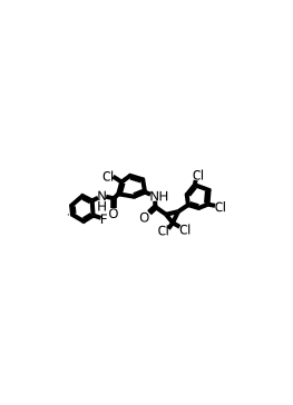 O=C(Nc1cc[c]cc1F)c1cc(NC(=O)C2C(c3cc(Cl)cc(Cl)c3)C2(Cl)Cl)ccc1Cl